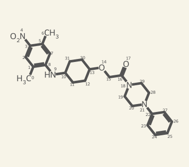 Cc1cc([N+](=O)[O-])c(C)cc1NC1CCC(OCC(=O)N2CCN(c3ccccc3)CC2)CC1